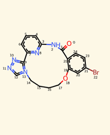 O=C1Nc2cccc(n2)-c2nncn2CCCCOc2cc(Br)ccc21